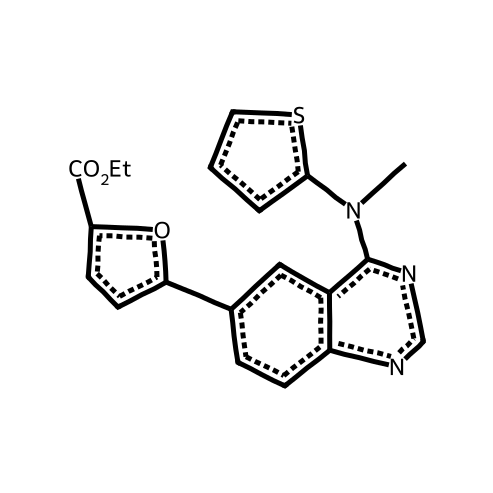 CCOC(=O)c1ccc(-c2ccc3ncnc(N(C)c4cccs4)c3c2)o1